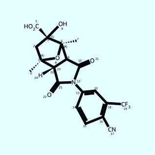 C[C@]12C[C@@](O)(C(=O)O)[C@](C)(O1)C1C(=O)N(c3ccc(C#N)c(C(F)(F)F)c3)C(=O)[C@@H]12